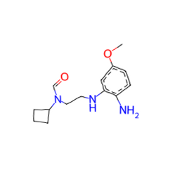 COc1ccc(N)c(NCCN(C=O)C2CCC2)c1